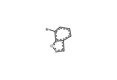 Brc1cccc2cnoc12